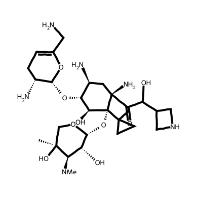 CN[C@@H]1[C@@H](O)[C@@H](O[C@]2(C3(C)CC3)[C@@H](O)[C@H](O[C@H]3OC(CN)=CC[C@H]3N)[C@@H](N)C[C@]2(N)C(=O)C(O)C2CNC2)OC[C@]1(C)O